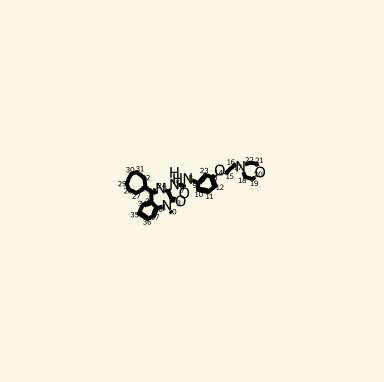 CN1C(=O)[C@H](NC(=O)Nc2cccc(OCCN3CCOCC3)c2)N=C(C2CCCCCC2)c2ccccc21